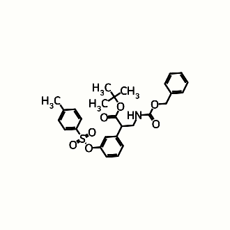 Cc1ccc(S(=O)(=O)Oc2cccc(C(CNC(=O)OCc3ccccc3)C(=O)OC(C)(C)C)c2)cc1